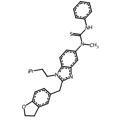 CC(C)CCn1c(Cc2ccc3c(c2)CCO3)nc2cc(N(C)C(=S)Nc3ccccc3)ccc21